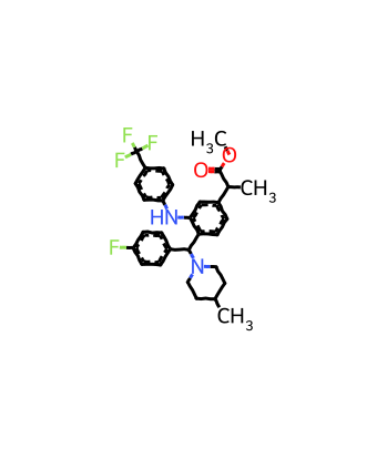 COC(=O)C(C)c1ccc(C(c2ccc(F)cc2)N2CCC(C)CC2)c(Nc2ccc(C(F)(F)F)cc2)c1